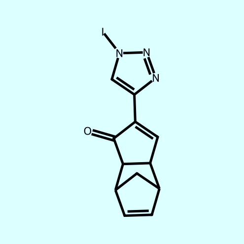 O=C1C(c2cn(I)nn2)=CC2C3C=CC(C3)C12